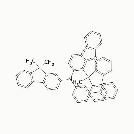 CC1(C)c2ccccc2-c2ccc(N(c3cccc(-c4ccccc4)c3)c3ccc4c(oc5ccccc54)c3C3(C)c4ccccc4-c4ccccc43)cc21